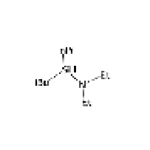 CCC[SiH](C(C)CC)N(CC)CC